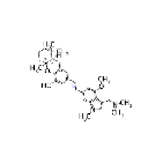 COc1cc(/C=C/c2cc(O)c3c(c2)C[C@@H]2C(C)(C)CCC[C@@]2(C)O3)cc2c1c(CN(C)C)cn2C